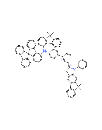 C=C/C(=C\C=C1/Cc2cc3c(cc2N1c1ccccc1)C(C)(C)c1ccccc1-3)c1ccc(N(c2cccc3c2-c2ccccc2C3(C)C)c2cccc3c2-c2ccccc2C32c3ccccc3-c3ccccc32)cc1